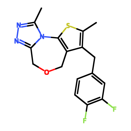 Cc1sc2c(c1Cc1ccc(F)c(F)c1)COCc1nnc(C)n1-2